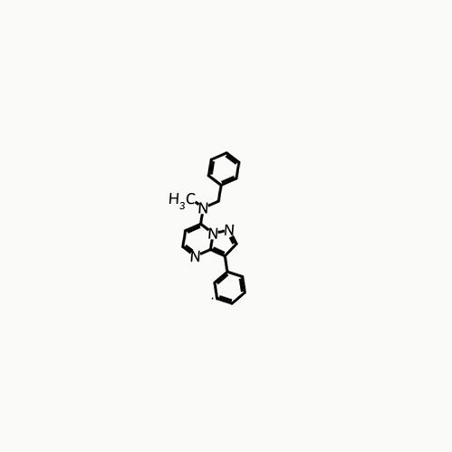 CN(Cc1ccccc1)c1ccnc2c(-c3c[c]ccc3)cnn12